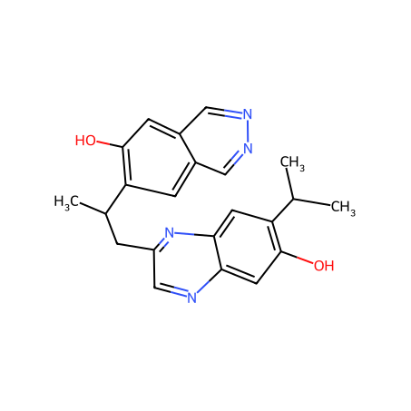 CC(C)c1cc2nc(CC(C)c3cc4cnncc4cc3O)cnc2cc1O